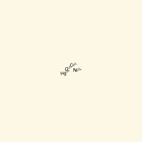 [Hg+2].[Ni+2].[O-2].[O-2]